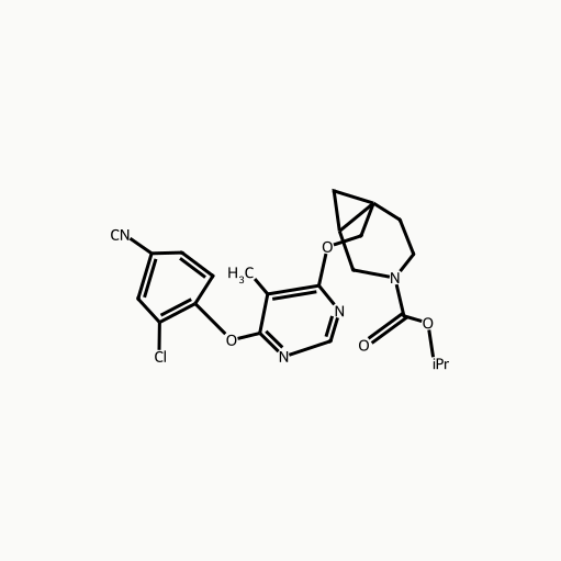 [C-]#[N+]c1ccc(Oc2ncnc(OCC34CCN(C(=O)OC(C)C)CC3C4)c2C)c(Cl)c1